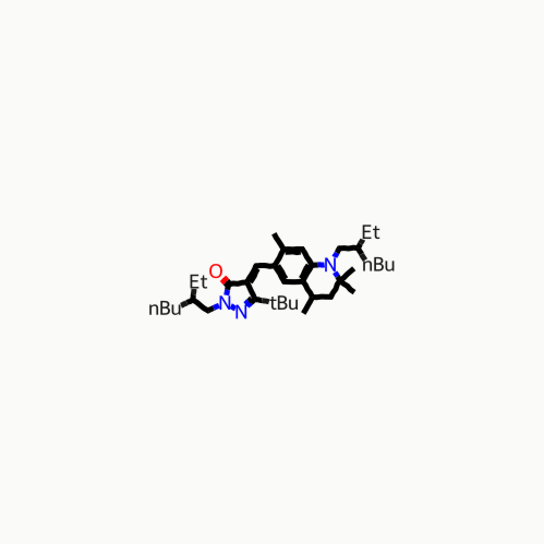 CCCCC(CC)CN1N=C(C(C)(C)C)C(=Cc2cc3c(cc2C)N(CC(CC)CCCC)C(C)(C)CC3C)C1=O